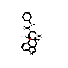 CC(C)C12C=CC=C3N=CC(=C31)C[C@@H]1C2=C[C@@H](C(=O)NC2CCCCC2)CN1C